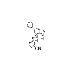 N#Cc1cccc(SNc2cc(-c3ccccc3)cc3cc[nH]c23)c1